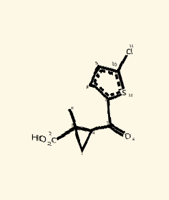 CC1(C(=O)O)CC1C(=O)c1ccc(Cl)s1